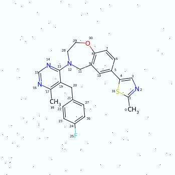 Cc1ncc(-c2ccc3c(c2)CN(c2ncnc(C)c2Cc2ccc(F)cc2)CCO3)s1